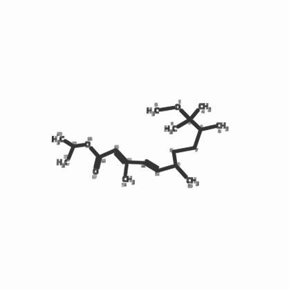 COC(C)(C)C(C)CCC(C)/C=C/C(C)=C/C(=O)OC(C)C